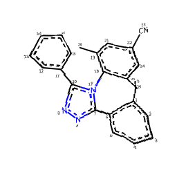 Cc1ccccc1-c1nnc(-c2ccccc2)n1-c1c(C)cc(C#N)cc1C